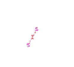 C(=C\c1ccc2c(c1)C1(CCCC1)c1cc3c(cc1-2)C1(CCCC1)c1cc(/C=C/c2ccc(-c4ccc5c(c4)c4ccccc4n5-c4cccc5ccccc45)cc2)ccc1-3)/c1ccc(-c2ccc3c(c2)c2ccccc2n3-c2cccc3ccccc23)cc1